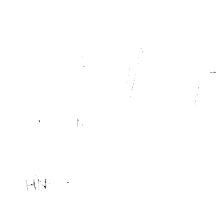 [c]1sc(N2CCNCC2)c2ccccc12